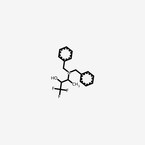 CC(C(O)C(F)(F)F)N(Cc1ccccc1)Cc1ccccc1